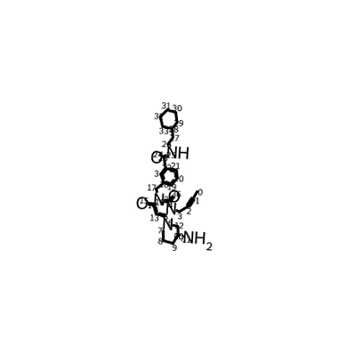 CC#CCn1c(N2CCC[C@@H](N)C2)cc(=O)n(Cc2cccc(C(=O)NCCC3CCCCC3)c2)c1=O